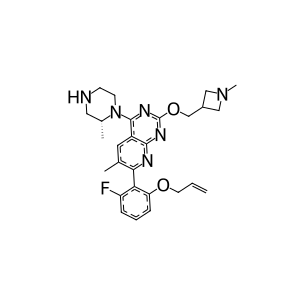 C=CCOc1cccc(F)c1-c1nc2nc(OCC3CN(C)C3)nc(N3CCNC[C@H]3C)c2cc1C